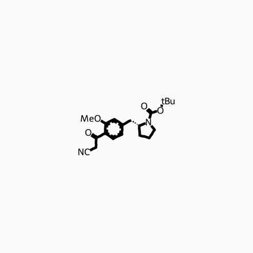 COc1cc(C[C@H]2CCCN2C(=O)OC(C)(C)C)ccc1C(=O)CC#N